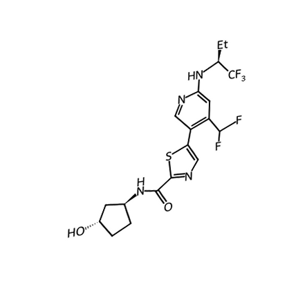 CC[C@H](Nc1cc(C(F)F)c(-c2cnc(C(=O)N[C@H]3CC[C@H](O)C3)s2)cn1)C(F)(F)F